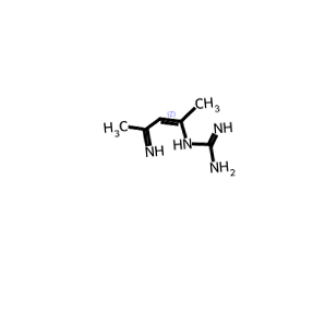 CC(=N)/C=C(/C)NC(=N)N